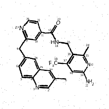 Cc1cnc2ccc(Cc3cc(C(=O)NCc4c(C(F)(F)F)cc(N)nc4C)ccn3)cc2c1